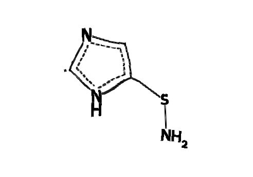 NSc1cn[c][nH]1